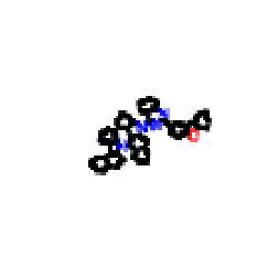 c1ccc2c(-n3c4ccccc4c4c5ccccc5ccc43)c3c4ccccc4n(-c4nc(-c5ccc6oc7ccccc7c6c5)nc5ccccc45)c3cc2c1